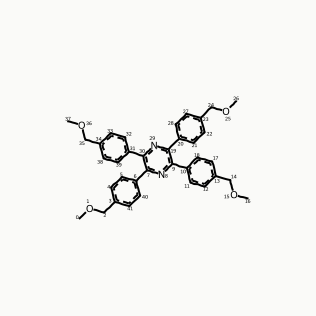 COCc1ccc(-c2nc(-c3ccc(COC)cc3)c(-c3ccc(COC)cc3)nc2-c2ccc(COC)cc2)cc1